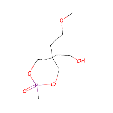 COCCC1(CO)COP(C)(=O)OC1